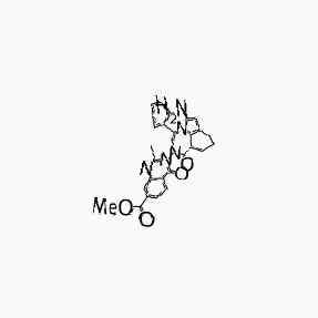 COC(=O)c1ccc2c(=O)n(N3C=C(c4ccccc4)n4c(N)cc5c4C(=CCC5)C3=O)c(C)nc2c1